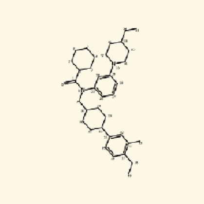 C=C(C1CCCCC1)N(CC1CCC(c2ccc(CC)c(C)c2)CC1)c1cccc(N2CCC(CC)CC2)c1